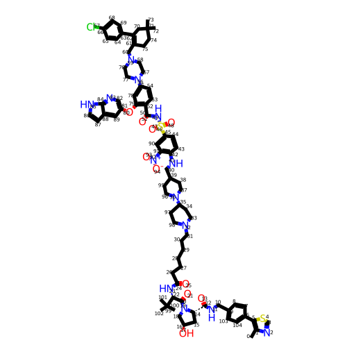 Cc1ncsc1-c1ccc(CNC(=O)[C@@H]2C[C@@H](O)CN2C(=O)[C@@H](NC(=O)CCCCCCN2CCC(N3CCC(CNc4ccc(S(=O)(=O)NC(=O)c5ccc(N6CCN(CC7=C(c8ccc(Cl)cc8)CC(C)(C)CC7)CC6)cc5Oc5cnc6[nH]ccc6c5)cc4[N+](=O)[O-])CC3)CC2)C(C)(C)C)cc1